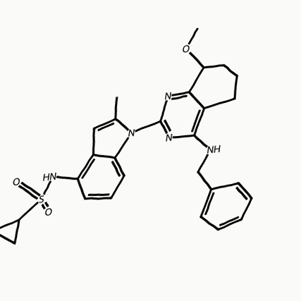 COC1CCCc2c(NCc3ccccc3)nc(-n3c(C)cc4c(NS(=O)(=O)C5CC5)cccc43)nc21